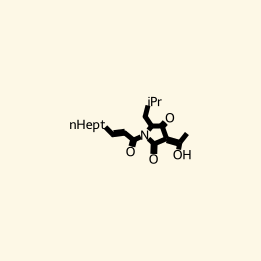 CCCCCCC/C=C/C(=O)N1C(=O)/C(=C(/C)O)C(=O)C1CC(C)C